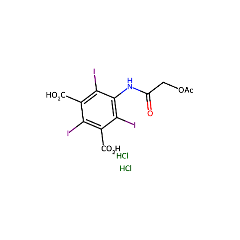 CC(=O)OCC(=O)Nc1c(I)c(C(=O)O)c(I)c(C(=O)O)c1I.Cl.Cl